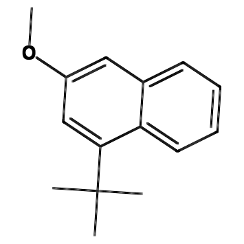 COc1cc(C(C)(C)C)c2ccccc2c1